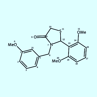 COc1cccc(CN2C(=O)CSC2c2c(OC)cccc2OC)c1